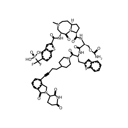 CN1CC[C@H]2CC[C@@H](C(=O)N[C@@H](COC(N)=O)C(=O)N[C@@H](Cc3cc4ccccc4s3)C(=O)N3CCC(CCC#Cc4cccc5c4CN(C4CCC(=O)NC4=O)C5=O)CC3)N2C(=O)[C@@H](NC(=O)c2cc3cc(C(F)(F)P(=O)(O)O)ccc3s2)C1